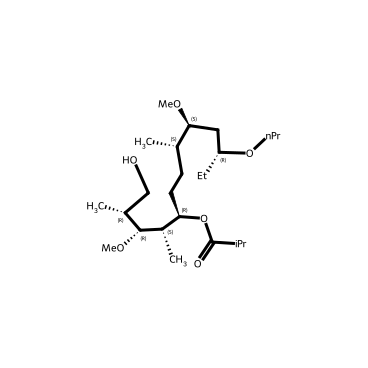 CCCO[C@H](CC)C[C@H](OC)[C@@H](C)CC[C@@H](OC(=O)C(C)C)[C@H](C)[C@H](OC)[C@H](C)CO